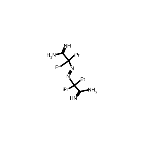 CCC(/N=N/C(CC)(C(=N)N)C(C)C)(C(=N)N)C(C)C